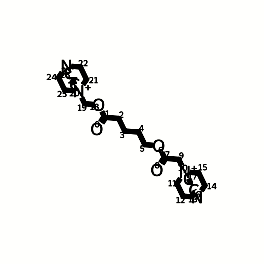 O=C(CCCCOC(=O)C[N+]12CCN(CC1)CC2)OC[N+]12CCN(CC1)CC2